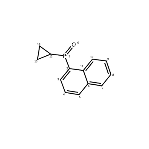 O=[P](c1cccc2ccccc12)C1CC1